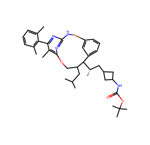 Cc1cccc(C)c1-c1nc2nc(c1C)OCC(CC(C)C)C([C@@H](C)CC1CC(NC(=O)OC(C)(C)C)C1)c1cccc(c1)SN2